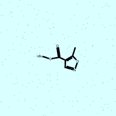 CCCCOC(=O)c1cnoc1C